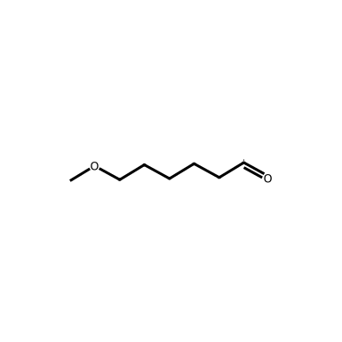 COCCCCC[C]=O